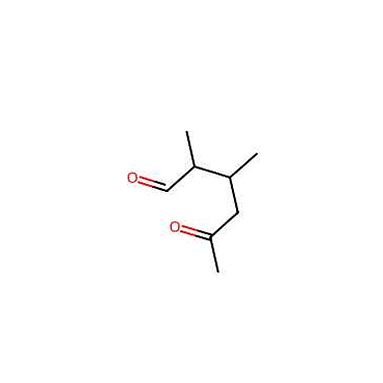 CC(=O)CC(C)C(C)C=O